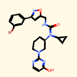 O=C(NCc1cc(-c2cccc(Br)c2)no1)N(C1CC1)[C@@H]1CCCN(c2nccc(O)n2)C1